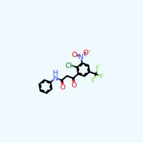 O=C(CC(=O)c1cc(C(F)(F)F)cc([N+](=O)[O-])c1Cl)Nc1ccccc1